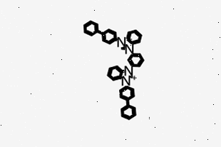 c1ccc(-c2ccc(-[n+]3cn(-c4cccc(-n5c[n+](-c6ccc(-c7ccccc7)cc6)c6ccccc65)c4)c4ccccc43)cc2)cc1